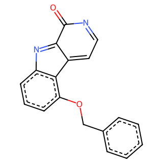 O=C1N=CC=C2C1=Nc1cccc(OCc3ccccc3)c12